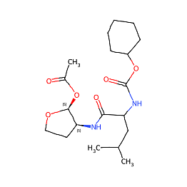 CC(=O)O[C@@H]1OCC[C@@H]1NC(=O)C(CC(C)C)NC(=O)OC1CCCCC1